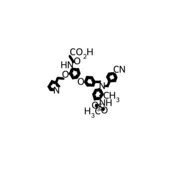 Cc1c(NS(C)(=O)=O)cccc1N(Cc1ccc(C#N)cc1)Cc1ccc(Oc2ccc(NC(=O)CC(=O)O)c(OCCc3cccnc3)c2)cc1